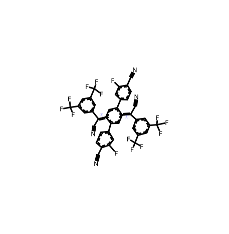 N#C/C(c1cc(C(F)(F)F)cc(C(F)(F)F)c1)=c1/cc(-c2ccc(C#N)c(F)c2)/c(=C(\C#N)c2cc(C(F)(F)F)cc(C(F)(F)F)c2)cc1-c1ccc(C#N)c(F)c1